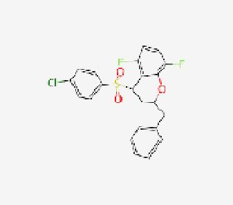 O=S(=O)(c1ccc(Cl)cc1)C1CC(Cc2ccccc2)Oc2c(F)ccc(F)c21